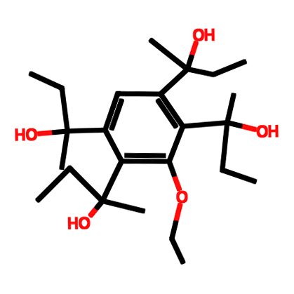 CCOc1c(C(C)(O)CC)c(C(C)(O)CC)cc(C(C)(O)CC)c1C(C)(O)CC